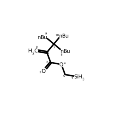 C=C(C(=O)OC[SiH3])C(CCCC)(CCCC)CCCC